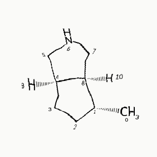 C[C@@H]1CC[C@H]2CNC[C@H]21